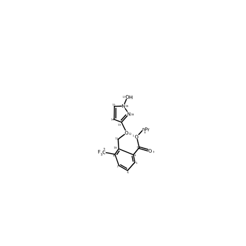 CCCOC(=O)c1cccc(C(F)(F)F)c1COc1ccn(O)n1